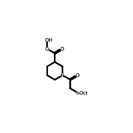 CCCCCCCCCC(=O)N1CCCC(C(=O)OO)C1